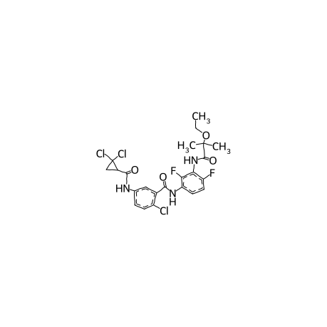 CCOC(C)(C)C(=O)Nc1c(F)ccc(NC(=O)c2cc(NC(=O)C3CC3(Cl)Cl)ccc2Cl)c1F